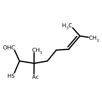 CC(=O)C(C)(CCC=C(C)C)C(S)C=O